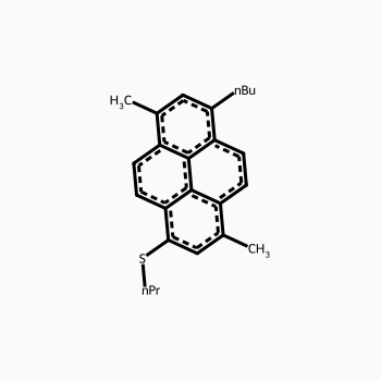 CCCCc1cc(C)c2ccc3c(SCCC)cc(C)c4ccc1c2c43